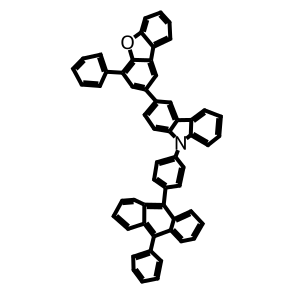 c1ccc(-c2c3ccccc3c(-c3ccc(-n4c5ccccc5c5cc(-c6cc(-c7ccccc7)c7oc8ccccc8c7c6)ccc54)cc3)c3ccccc23)cc1